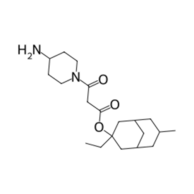 CCC1(OC(=O)CC(=O)N2CCC(N)CC2)CC2CC(C)CC(C2)C1